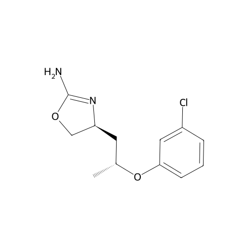 C[C@H](C[C@H]1COC(N)=N1)Oc1cccc(Cl)c1